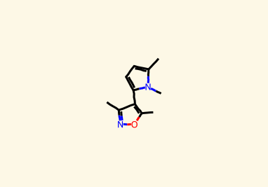 Cc1noc(C)c1-c1ccc(C)n1C